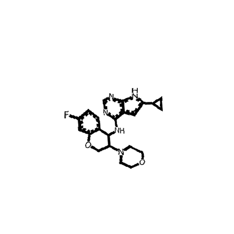 Fc1ccc2c(c1)OCC(N1CCOCC1)C2Nc1ncnc2[nH]c(C3CC3)cc12